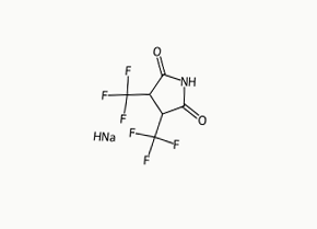 O=C1NC(=O)C(C(F)(F)F)C1C(F)(F)F.[NaH]